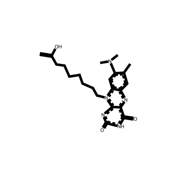 C=C(O)CCCCCCCn1c2nc(=O)[nH]c(=O)c-2nc2cc(C)c(N(C)C)cc21